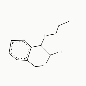 CCCNC1c2ccccc2COC1C